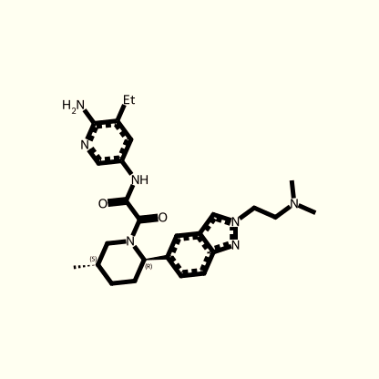 CCc1cc(NC(=O)C(=O)N2C[C@@H](C)CC[C@@H]2c2ccc3nn(CCN(C)C)cc3c2)cnc1N